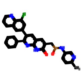 Cc1ccc(N[S+]([O-])Cc2cc3cc(-c4cc(Cl)c5ncccc5c4)c(-c4ccccc4)nc3[nH]c2=O)cn1